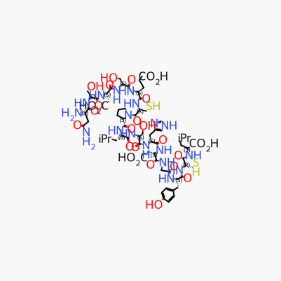 CC(C)C[C@H](NC(=O)[C@H](CS)NC(=O)[C@H](Cc1ccc(O)cc1)NC(=O)CNC(=O)[C@H](CC(=O)O)NC(=O)[C@H](Cc1c[nH]cn1)NC(=O)[C@H](CO)NC(=O)[C@H](CC(C)C)NC(=O)[C@@H]1CCCN1C(=O)[C@H](CS)NC(=O)[C@H](CCC(=O)O)NC(=O)[C@H](CO)NC(=O)[C@H](CC(=O)O)NC(=O)[C@H](CO)NC(=O)[C@@H](N)CC(N)=O)C(=O)O